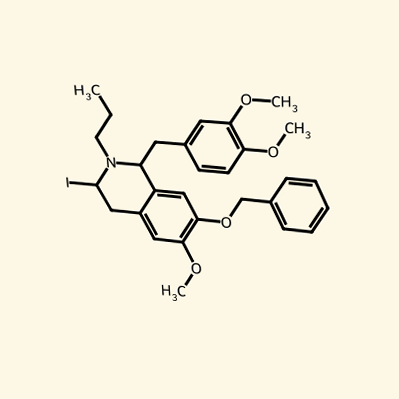 CCCN1C(I)Cc2cc(OC)c(OCc3ccccc3)cc2C1Cc1ccc(OC)c(OC)c1